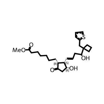 COC(=O)CCCCCC[C@H]1C(=O)C[C@@H](O)[C@H]1C=CCC(O)C1(Cc2cccs2)CCC1